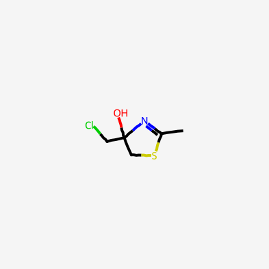 CC1=NC(O)(CCl)CS1